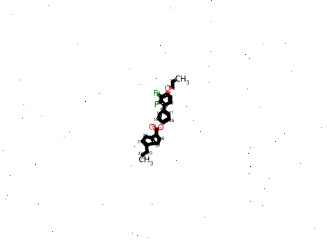 CCCOc1ccc(-c2ccc(OC(=O)C3CCC4C(CCC)=CCC34)cc2)c(F)c1F